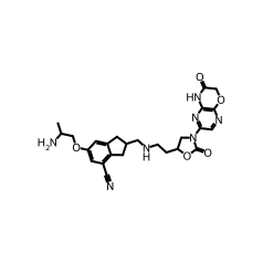 CC(N)COc1cc(C#N)c2c(c1)CC(CNCCC1CN(c3cnc4c(n3)NC(=O)CO4)C(=O)O1)C2